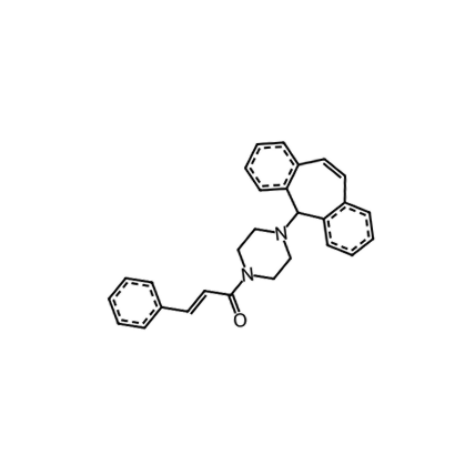 O=C(C=Cc1ccccc1)N1CCN(C2c3ccccc3C=Cc3ccccc32)CC1